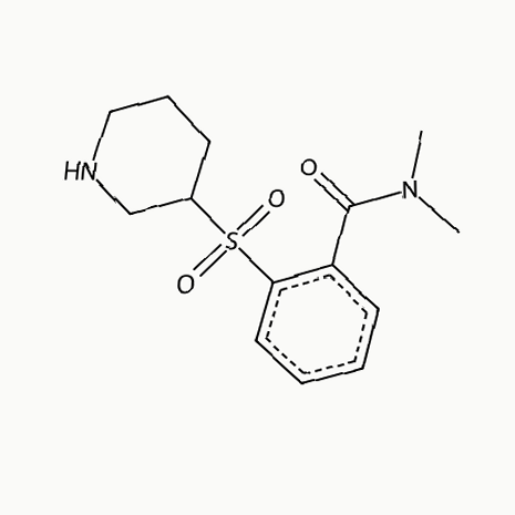 CN(C)C(=O)c1ccccc1S(=O)(=O)C1CCCNC1